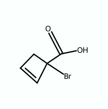 O=C(O)C1(Br)C=CC1